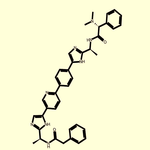 C[C@H](NC(=O)Cc1ccccc1)c1ncc(-c2ccc(-c3ccc(-c4cnc([C@H](C)NC(=O)[C@@H](c5ccccc5)N(C)C)[nH]4)cc3)nc2)[nH]1